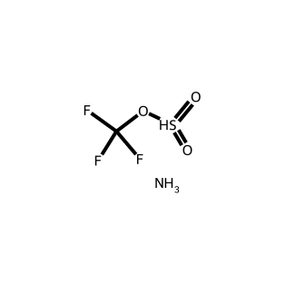 N.O=[SH](=O)OC(F)(F)F